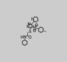 Cc1ccc(S(=O)(=O)n2c(SCC(=O)Nc3ccccc3)nnc2-c2ccccn2)cc1